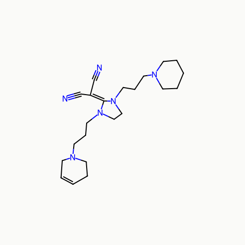 N#CC(C#N)=C1N(CCCN2CC=CCC2)CCN1CCCN1CCCCC1